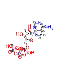 CC1(O)[C@@H](O)[C@@H](COP(=O)(O)OP(=O)(O)OP(=O)(O)O)O[C@H]1n1ccc2c(N)ncnc21